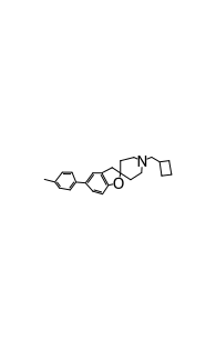 Cc1ccc(-c2ccc3c(c2)CC2(CCN(CC4CCC4)CC2)O3)cc1